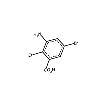 CCc1c(N)cc(Br)cc1C(=O)O